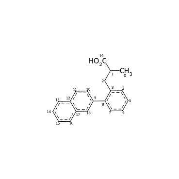 CC(Cc1ccccc1-c1ccc2ccccc2c1)C(=O)O